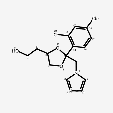 OCCC1COC(Cn2ccnc2)(c2ccc(Cl)cc2Cl)O1